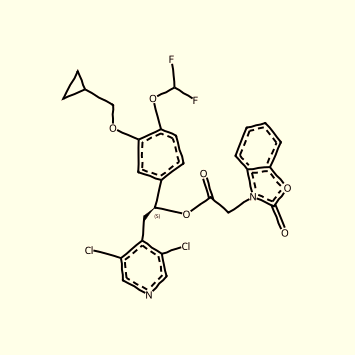 O=C(Cn1c(=O)oc2ccccc21)O[C@@H](Cc1c(Cl)cncc1Cl)c1ccc(OC(F)F)c(OCC2CC2)c1